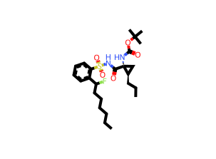 CCCCCCC(F)c1ccccc1S(=O)(=O)NC(=O)[C@@]1(NC(=O)OC(C)(C)C)C[C@H]1CCC